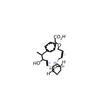 CC(c1ccccc1)C(O)/C=C/[C@@H]1[C@H](C/C=C\COCC(=O)O)[C@@H]2CC[C@H]1O2